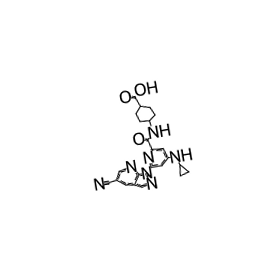 N#Cc1cnc2c(cnn2-c2cc(NC3CC3)cc(C(=O)NC3CCC(C(=O)O)CC3)n2)c1